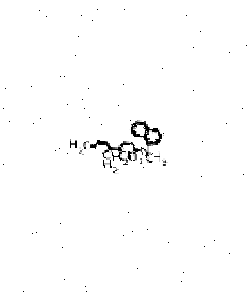 C=C/C=C\C(=C)C(=C)/C=C\C(=C)N(C)c1cccc2ccccc12